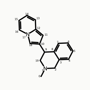 CN1Cc2ccccc2C(c2cc3ccccn3c2)C1